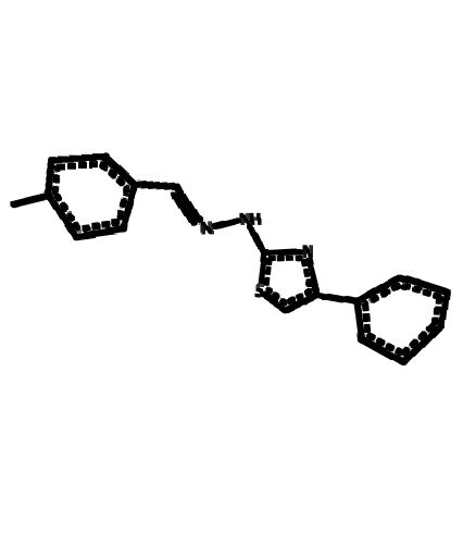 Cc1ccc(C=NNc2nc(-c3ccccc3)cs2)cc1